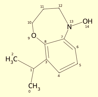 CC(C)c1cccc2c1OCCCN2O